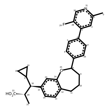 Cc1cc(-c2ccc(C3CCCc4ccc([C@H](C5CC5)[C@H](C)C(=O)O)cc4O3)cc2)c(F)cn1